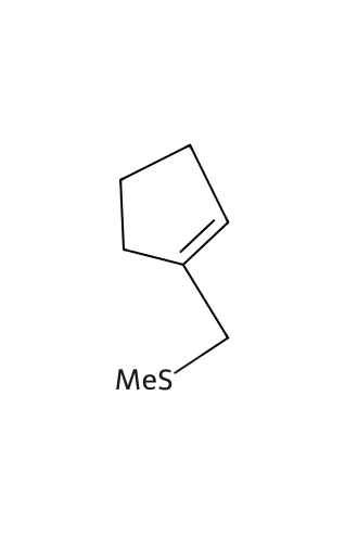 CSCC1=CCCC1